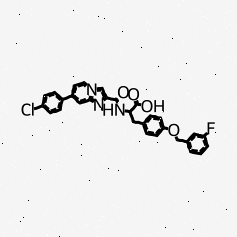 O=C(NC(Cc1ccc(OCc2cccc(F)c2)cc1)C(=O)O)c1cn2ccc(-c3ccc(Cl)cc3)cc2n1